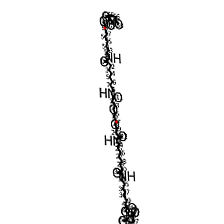 O=C(CCCCCCCNC(=O)CCOCCCOCCC(=O)NCCCCCCCC(=O)NCCCCCCCC(=O)ON1C(=O)CCC1=O)NCCCCCCCC(=O)ON1C(=O)CCC1=O